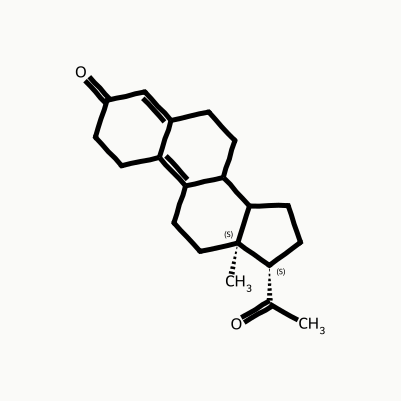 CC(=O)[C@H]1CCC2C3CCC4=CC(=O)CCC4=C3CC[C@@]21C